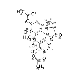 CC(=O)Oc1ccc2c(c1Cl)[Si](C)(C)c1c(ccc(OC(C)=O)c1Cl)C21OC(=O)c2ccccc21